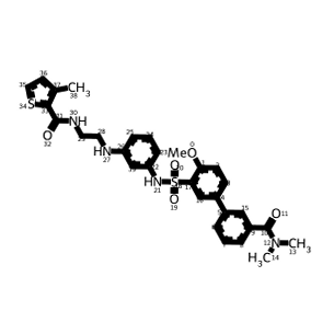 COc1ccc(-c2cccc(C(=O)N(C)C)c2)cc1S(=O)(=O)Nc1cccc(NCCNC(=O)c2sccc2C)c1